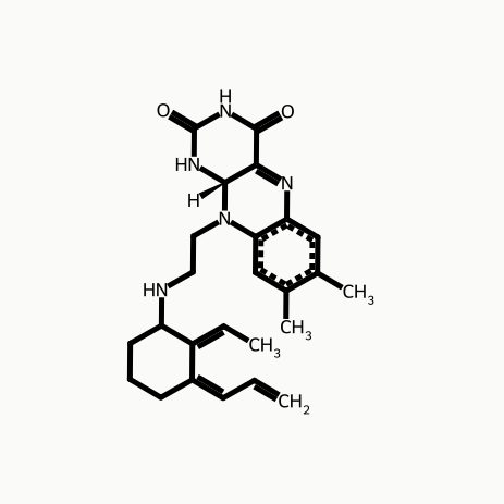 C=C/C=C1/CCCC(NCCN2c3cc(C)c(C)cc3N=C3C(=O)NC(=O)N[C@H]32)/C1=C/C